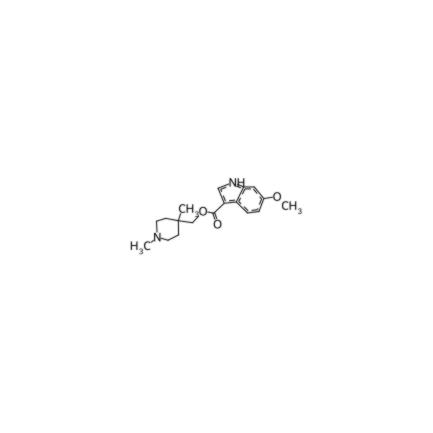 COc1ccc2c(C(=O)OCC3(C)CCN(C)CC3)c[nH]c2c1